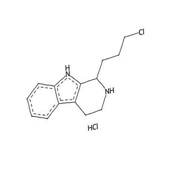 Cl.ClCCCC1NCCc2c1[nH]c1ccccc21